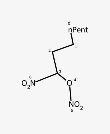 CCCCCCCC(O[N+](=O)[O-])[N+](=O)[O-]